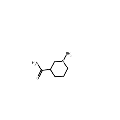 BN1CCCC(C(N)=O)C1